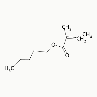 C.C=C(C)C(=O)OCCCCC